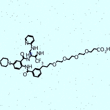 N=C(/C(=C\Nc1ccccn1)NC(=O)c1cc(N2CCCCC2)ccc1NC(=O)c1cccc(CCCOCCOCCOCCOCCC(=O)O)c1)C(F)(F)F